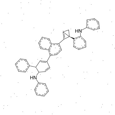 C1=CC(Nc2ccccc2)C(c2ccccc2)C=C1c1ccc(C2=C3C[C@@]32c2ccccc2Nc2ccccc2)c2ccccc12